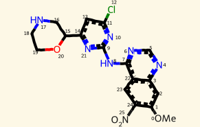 COc1cc2ncnc(Nc3nc(Cl)cc(C4CNCCO4)n3)c2cc1[N+](=O)[O-]